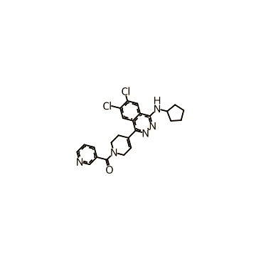 O=C(c1cccnc1)N1CC=C(c2nnc(NC3CCCC3)c3cc(Cl)c(Cl)cc23)CC1